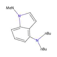 CCCCN(CCCC)c1cccc2c1ccn2NC